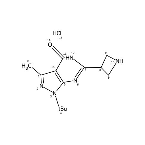 Cc1nn(C(C)(C)C)c2nc(C3CNC3)[nH]c(=O)c12.Cl